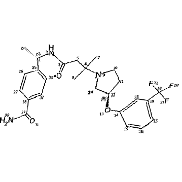 C[C@H](NC(=O)CC(C)(C)N1CC[C@@H](Oc2cccc(C(F)(F)F)c2)C1)c1ccc(C(N)=O)cc1